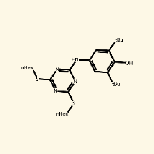 CCCCCCSc1nc(Nc2cc(C(C)(C)C)c(O)c(C(C)(C)C)c2)nc(SCCCCCC)n1